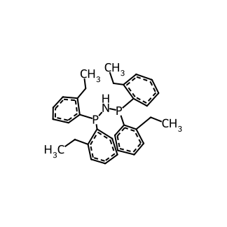 CCc1ccccc1P(NP(c1ccccc1CC)c1ccccc1CC)c1ccccc1CC